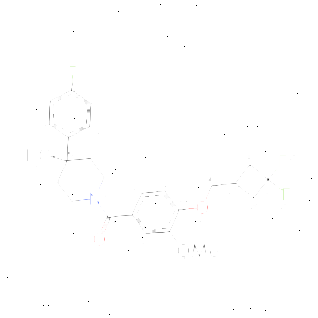 COc1cc(C(=O)N2CCC(C)(c3ccc(F)cc3)CC2)ccc1OCC1CC(F)(F)C1